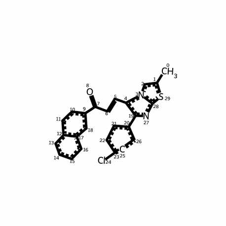 Cc1cn2c(C=CC(=O)c3ccc4ccccc4c3)c(-c3ccc(Cl)cc3)nc2s1